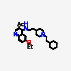 CCOc1ccc2ncc(C(C)=O)c(NCCC3CCN(CCC4CCCCC4)CC3)c2c1